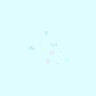 COc1ccc(Cl)c(/C=C\C(=O)Nc2sc3c(c2C#N)CCNC3)c1